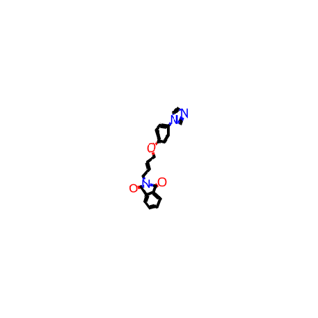 O=C1c2ccccc2C(=O)N1CC=CCOc1ccc(-n2ccnc2)cc1